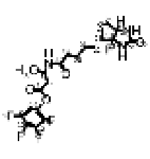 CC(CC(=O)Oc1cc(F)c(F)c(F)c1F)NC(=O)CCCC[C@@H]1SC[C@@H]2NC(=O)N[C@@H]21